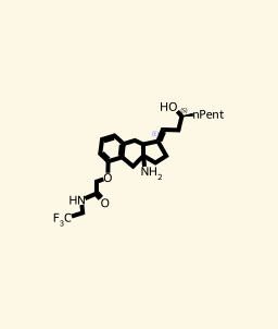 CCCCC[C@H](O)C/C=C1\CCC2(N)Cc3c(cccc3OCC(=O)NCC(F)(F)F)CC12